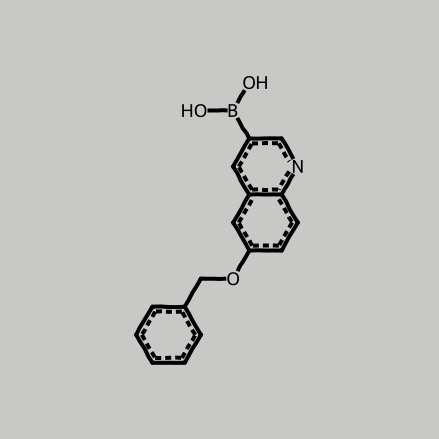 OB(O)c1cnc2ccc(OCc3ccccc3)cc2c1